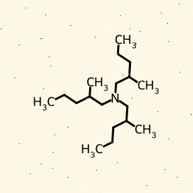 CCCC(C)CN(CC(C)CCC)CC(C)CCC